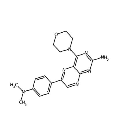 CN(C)c1ccc(-c2cnc3nc(N)nc(N4CCOCC4)c3n2)cc1